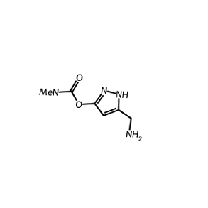 CNC(=O)Oc1cc(CN)[nH]n1